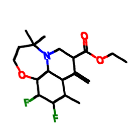 C=C1C(C(=O)OCC)CN2C3C(OCCC2(C)C)C(F)C(F)C(C)C13